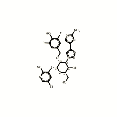 N#Cc1ncc(Cl)cc1S[C@H]1O[C@H](CO)[C@H](O)[C@H](n2cc(-c3csc(N)n3)nn2)[C@H]1OCc1cc(F)c(O)c(F)c1